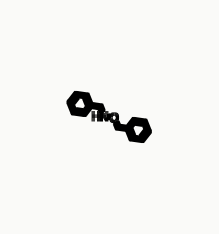 c1ccc(CNOCc2ccccc2)cc1